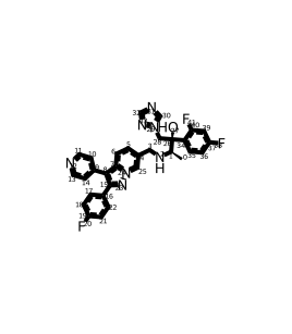 C[C@@H](NCc1ccc2c(-c3ccncc3)c(-c3ccc(F)cc3)nn2c1)[C@](O)(Cn1cncn1)c1ccc(F)cc1F